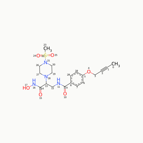 CC#CCOc1ccc(C(=O)NCC(C(=O)NO)N2CCN(S(C)(=O)=O)CC2)cc1